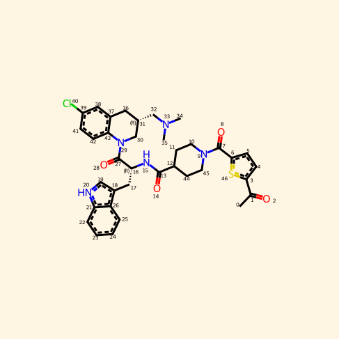 CC(=O)c1ccc(C(=O)N2CCC(C(=O)N[C@H](Cc3c[nH]c4ccccc34)C(=O)N3C[C@@H](CN(C)C)Cc4cc(Cl)ccc43)CC2)s1